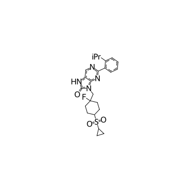 CC(C)c1ccccc1-c1ncc2[nH]c(=O)n(CC3(F)CCC(S(=O)(=O)C4CC4)CC3)c2n1